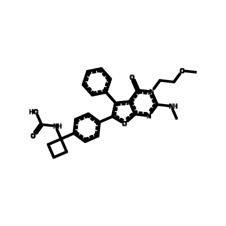 CNc1nc2oc(-c3ccc(C4(NC(=O)O)CCC4)cc3)c(-c3ccccc3)c2c(=O)n1CCOC